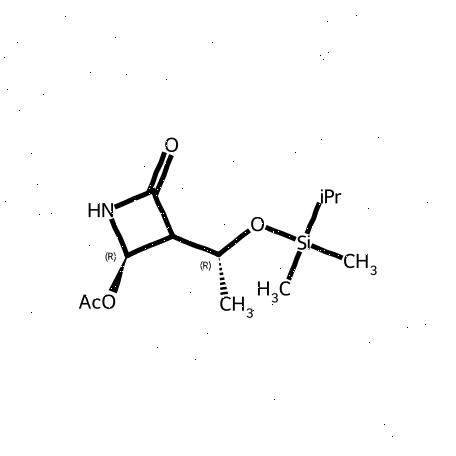 CC(=O)O[C@H]1NC(=O)C1[C@@H](C)O[Si](C)(C)C(C)C